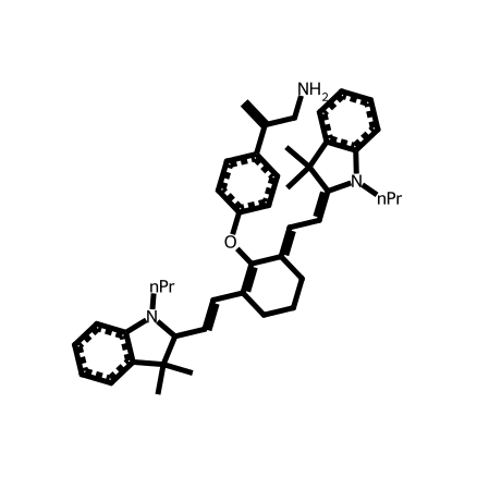 C=C(CN)c1ccc(OC2=C(/C=C/C3N(CCC)c4ccccc4C3(C)C)CCC/C2=C\C=C2\N(CCC)c3ccccc3C2(C)C)cc1